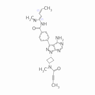 C=N/C(=C\C=C/C)NC(=O)c1ccc(-c2nn([C@H]3C[C@@H](N(C)C(=O)C#CC)C3)c3ncnc(N)c23)cc1